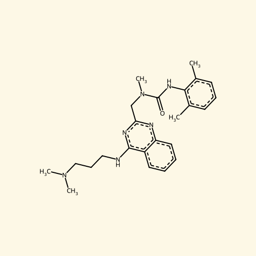 Cc1cccc(C)c1NC(=O)N(C)Cc1nc(NCCCN(C)C)c2ccccc2n1